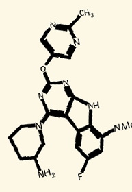 CNc1cc(F)cc2c1[nH]c1nc(Oc3cnc(C)nc3)nc(N3CCCC(N)C3)c12